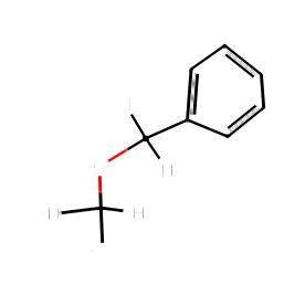 [2H]C([2H])([2H])OC([2H])([2H])c1ccccc1